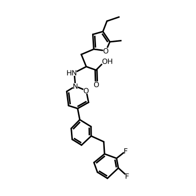 CCc1cc(CC(NN2C=CC(c3cccc(Cc4cccc(F)c4F)c3)=CO2)C(=O)O)oc1C